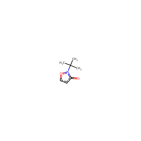 CC(C)(C)n1occc1=O